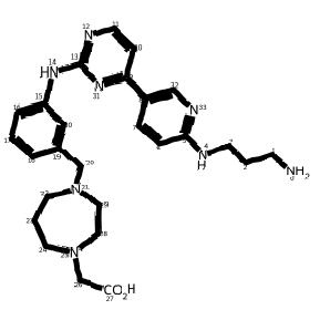 NCCCNc1ccc(-c2ccnc(Nc3cccc(CN4CCCN(CC(=O)O)CC4)c3)n2)cn1